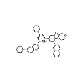 C1=CC2C=CC(c3cc(C4=NC(C5=CCCC=C5)=NC(c5ccc6ccc(-c7ccccc7)cc6c5)N4)cc4oc5c(c34)C=COC5)=CC2C=C1